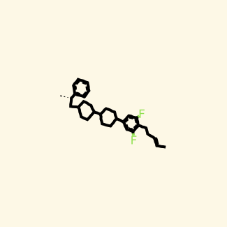 C/C=C/CCc1c(F)cc(C2CCC(C3CCC(C[C@H](C)c4ccccc4)CC3)CC2)cc1F